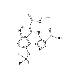 CCOC(=O)c1cnc2ccc(OC(F)(F)F)cc2c1Nc1oncc1C(=O)O